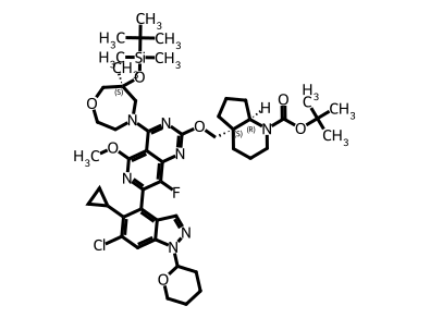 COc1nc(-c2c(C3CC3)c(Cl)cc3c2cnn3C2CCCCO2)c(F)c2nc(OC[C@]34CCC[C@H]3N(C(=O)OC(C)(C)C)CCC4)nc(N3CCOC[C@@](C)(O[Si](C)(C)C(C)(C)C)C3)c12